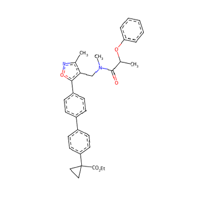 CCOC(=O)C1(c2ccc(-c3ccc(-c4onc(C)c4CN(C)C(=O)C(C)Oc4ccccc4)cc3)cc2)CC1